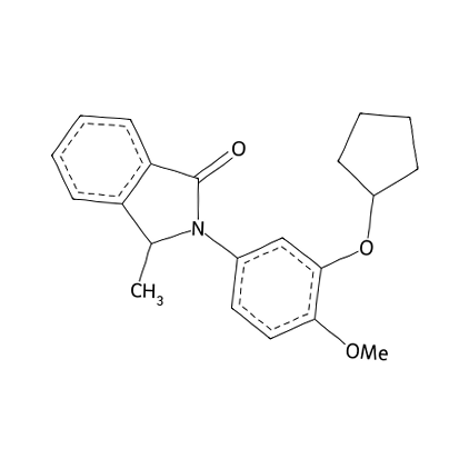 COc1ccc(N2C(=O)c3ccccc3C2C)cc1OC1CCCC1